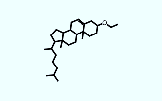 CCOC1CCC2(C)C(=CCC3C2CCC2(C)C(C(C)CCCC(C)C)CCC32)C1